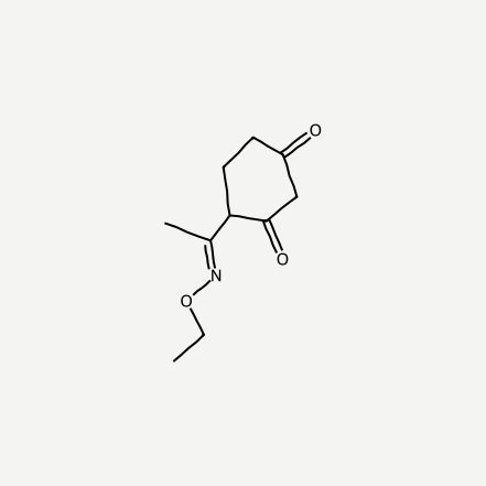 CCON=C(C)C1CCC(=O)CC1=O